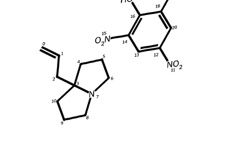 C=CCC12CCCN1CCC2.O=[N+]([O-])c1cc([N+](=O)[O-])c(O)c([N+](=O)[O-])c1